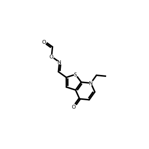 CCn1ccc(=O)c2cc(C=NOC=O)sc21